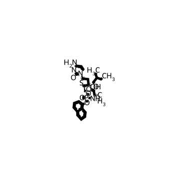 CCC(CC)COC(=O)[C@H](C)NP(=O)(OC[C@H]1S[C@@H](n2ccc(N)nc2=O)C[C@H]1O)Oc1cccc2ccccc12